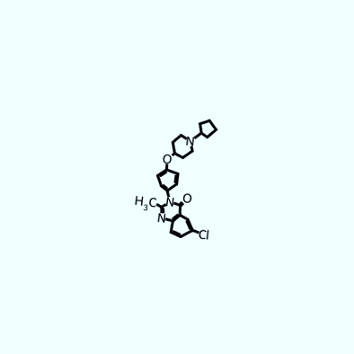 Cc1nc2ccc(Cl)cc2c(=O)n1-c1ccc(OC2CCN(C3CCCC3)CC2)cc1